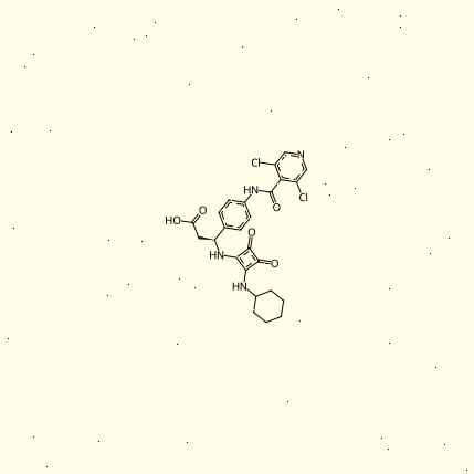 O=C(O)C[C@H](Nc1c(NC2CCCCC2)c(=O)c1=O)c1ccc(NC(=O)c2c(Cl)cncc2Cl)cc1